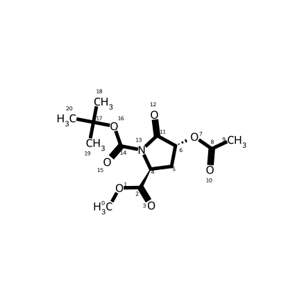 COC(=O)[C@@H]1C[C@@H](OC(C)=O)C(=O)N1C(=O)OC(C)(C)C